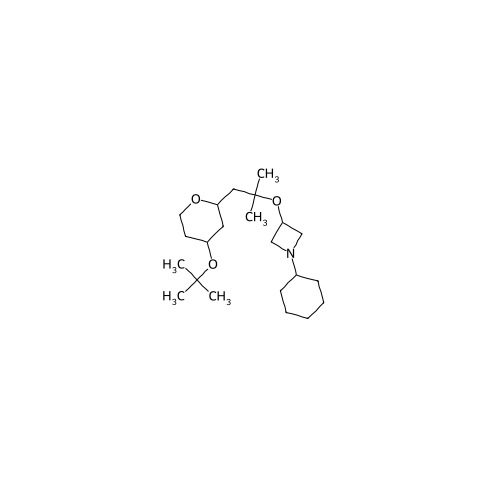 CC(C)(C)OC1CCOC(CC(C)(C)OC2CN(C3CCCCC3)C2)C1